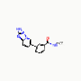 Nc1nc2ccc(-c3cccc(C(=O)NCC(F)(F)F)c3)cn2n1